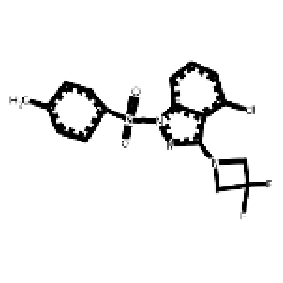 Cc1ccc(S(=O)(=O)n2nc(N3CC(F)(F)C3)c3c(Cl)cccc32)cc1